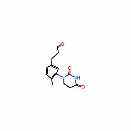 Cc1ccc(CCC=O)cc1N1CCC(=O)NC1=O